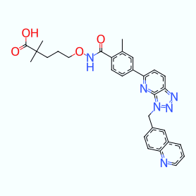 Cc1cc(-c2ccc3nnn(Cc4ccc5ncccc5c4)c3n2)ccc1C(=O)NOCCCC(C)(C)C(=O)O